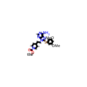 COc1ccc(OC)c(Sc2nc3c(N)ncnc3n2CCC2CCN(C(=O)OC(C)(C)C)CC2)c1